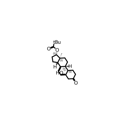 CC(C)(C)C(=O)O[C@H]1CC[C@H]2C3=CC=C4CC(=O)CC[C@]4(CO)[C@H]3CC[C@]12C